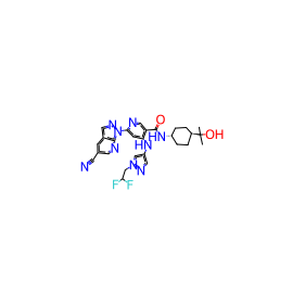 CC(C)(O)[C@H]1CC[C@H](NC(=O)c2cnc(-n3ncc4cc(C#N)cnc43)cc2Nc2cnn(CC(F)F)c2)CC1